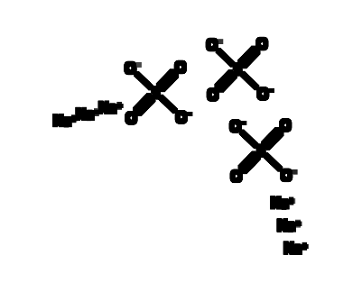 O=S(=O)([O-])[O-].O=S(=O)([O-])[O-].O=S(=O)([O-])[O-].[Na+].[Na+].[Na+].[Na+].[Na+].[Na+]